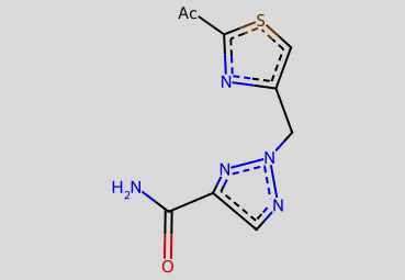 CC(=O)c1nc(Cn2ncc(C(N)=O)n2)cs1